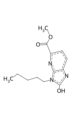 CCCCCn1c(O)nc2ccc(C(=O)OC)nc21